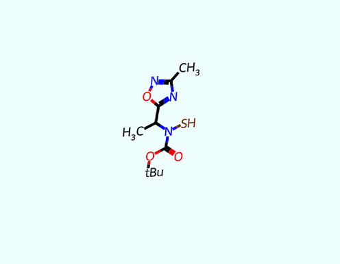 Cc1noc(C(C)N(S)C(=O)OC(C)(C)C)n1